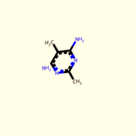 Cc1ncc(C)c(N)n1.N